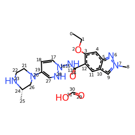 CCOc1cc2nn(C)cc2cc1C(=O)NN1C=CC(N2CCN[C@@H](C)C2)=CN1.O=CO